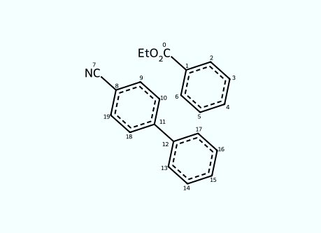 CCOC(=O)c1ccccc1.N#Cc1ccc(-c2ccccc2)cc1